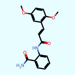 COc1ccc(OC)c(C=CC(=O)Nc2ccccc2C(N)=O)c1